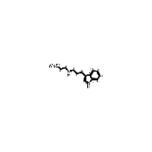 CSCCNC[CH]Cc1c[nH]c2ccccc12